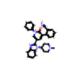 CN1CCC(n2c(-c3cc(-c4ccccc4C#N)c(=O)n(-c4ccccc4)c3)nc3ccccc32)CC1